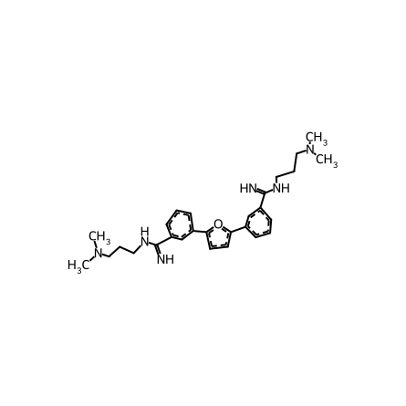 CN(C)CCCNC(=N)c1cccc(-c2ccc(-c3cccc(C(=N)NCCCN(C)C)c3)o2)c1